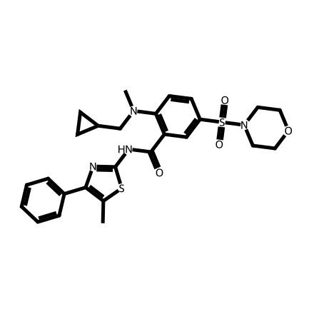 Cc1sc(NC(=O)c2cc(S(=O)(=O)N3CCOCC3)ccc2N(C)CC2CC2)nc1-c1ccccc1